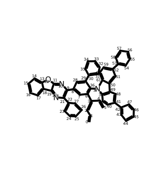 C=C/C=C(\C=C)c1cc(-c2nc3oc4ccccc4c3nc2-c2ccccc2)cc(-c2ccccc2)c1-n1c2ccc(-c3ccccc3)cc2c2cc(-c3ccccc3)ccc21